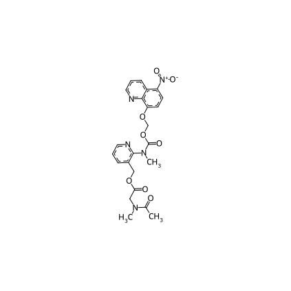 CC(=O)N(C)CC(=O)OCc1cccnc1N(C)C(=O)OCOc1ccc([N+](=O)[O-])c2cccnc12